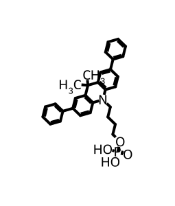 CC1(C)c2cc(-c3ccccc3)ccc2N(CCCCOP(=O)(O)O)c2ccc(-c3ccccc3)cc21